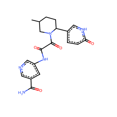 CC1CCC(c2ccc(=O)[nH]c2)N(C(=O)C(=O)Nc2cncc(C(N)=O)c2)C1